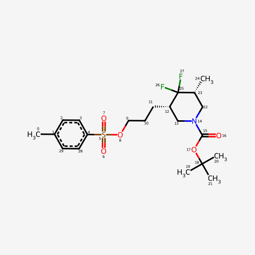 Cc1ccc(S(=O)(=O)OCCC[C@H]2CN(C(=O)OC(C)(C)C)C[C@@H](C)C2(F)F)cc1